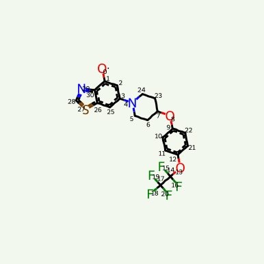 [O]c1cc(N2CCC(Oc3ccc(OC(F)(F)C(F)(F)F)cc3)CC2)cc2scnc12